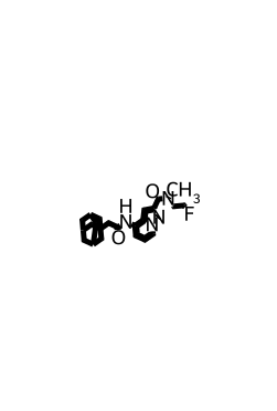 CN(CCF)C(=O)c1cc2c(NC(=O)CC34CC5CC(CC(C5)C3)C4)cccn2n1